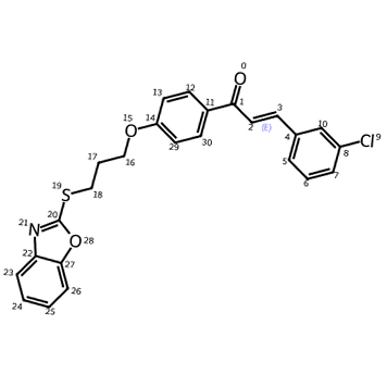 O=C(/C=C/c1cccc(Cl)c1)c1ccc(OCCCSc2nc3ccccc3o2)cc1